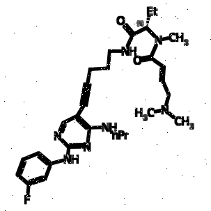 CCCNc1nc(Nc2cccc(F)c2)ncc1C#CCCCNC(=O)[C@H](CC)N(C)C(=O)C=CCN(C)C